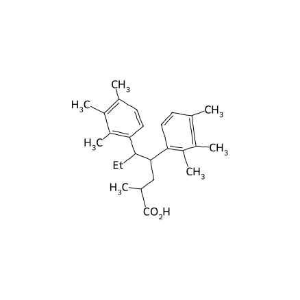 CCC(c1ccc(C)c(C)c1C)C(CC(C)C(=O)O)c1ccc(C)c(C)c1C